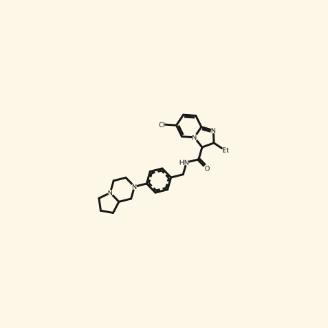 CCC1N=C2C=CC(Cl)=CN2C1C(=O)NCc1ccc(N2CCN3CCCC3C2)cc1